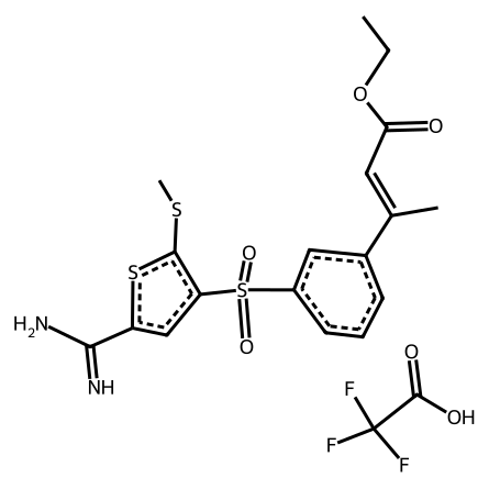 CCOC(=O)C=C(C)c1cccc(S(=O)(=O)c2cc(C(=N)N)sc2SC)c1.O=C(O)C(F)(F)F